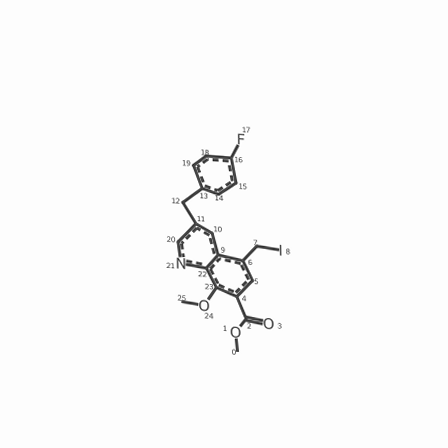 COC(=O)c1cc(CI)c2cc(Cc3ccc(F)cc3)cnc2c1OC